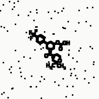 CC1(C)CN(C(=O)N2CC(OC(=O)O)CC(c3ccc(C(F)(F)F)cc3)C2)CCO1